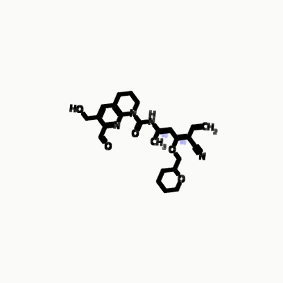 C=C/C(C#N)=C(\C=C(/C)NC(=O)N1CCCc2cc(CO)c(C=O)nc21)OCC1CCCCO1